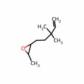 C=CC(C)(C)CCC1OC1C